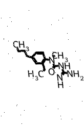 CCCCc1ccc(N(C)C(=O)NC(=N)N)c(CC)c1